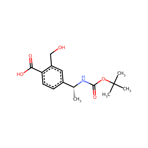 C[C@@H](NC(=O)OC(C)(C)C)c1ccc(C(=O)O)c(CO)c1